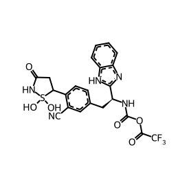 N#Cc1cc(C[C@H](NC(=O)OC(=O)C(F)(F)F)c2nc3ccccc3[nH]2)ccc1C1CC(=O)NS1(O)O